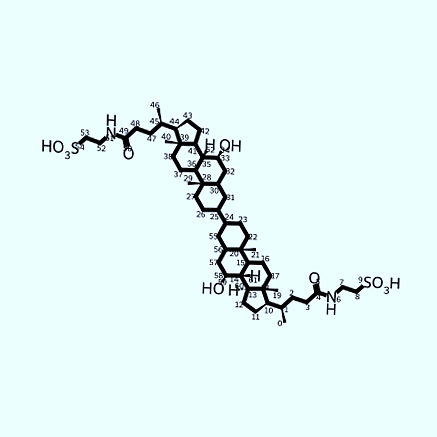 C[C@H](CCC(=O)NCCS(=O)(=O)O)[C@H]1CC[C@H]2[C@H]3C(CC[C@]12C)[C@@]1(C)CCC(C2CC[C@@]4(C)C(C2)C[C@H](O)[C@@H]2C4CC[C@@]4(C)C2CC[C@@H]4[C@H](C)CCC(=O)NCCS(=O)(=O)O)CC1C[C@@H]3O